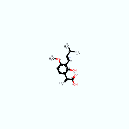 C=C(C(=O)O)c1ccc(OC)c(/C=C/C(C)C)c1O